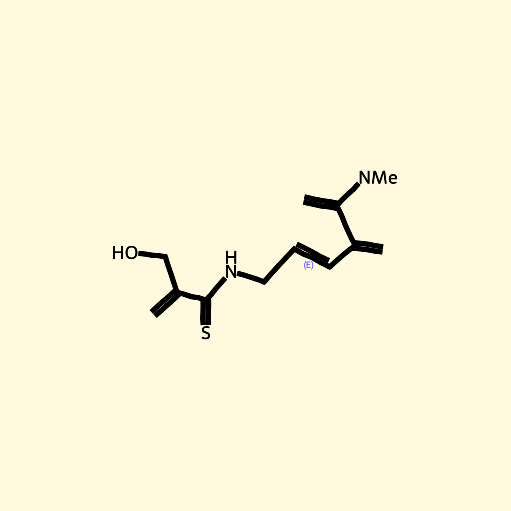 C=C(/C=C/CNC(=S)C(=C)CO)C(=C)NC